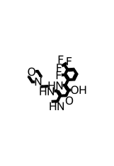 CC(=N)c1c(NCCN2CCOCC2)[nH]c(-c2cccc(C(F)(F)F)c2F)c(O)c1=O